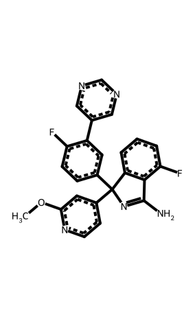 COc1cc(C2(c3ccc(F)c(-c4cncnc4)c3)N=C(N)c3c(F)cccc32)ccn1